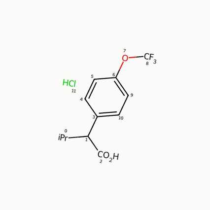 CC(C)C(C(=O)O)c1ccc(OC(F)(F)F)cc1.Cl